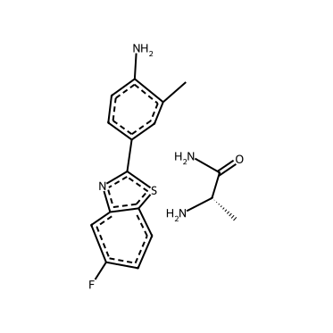 C[C@H](N)C(N)=O.Cc1cc(-c2nc3cc(F)ccc3s2)ccc1N